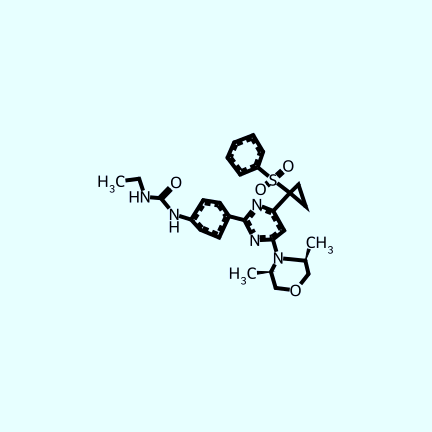 CCNC(=O)Nc1ccc(-c2nc(N3[C@H](C)COC[C@@H]3C)cc(C3(S(=O)(=O)c4ccccc4)CC3)n2)cc1